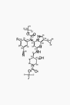 CC(C)(C)OC(=O)N1CC[C@@H](CNc2cc(N(C(=O)OC(C)(C)C)c3cc(F)cc(C#N)c3)n3ncc(C4CC4)c3n2)[C@H](O)C1